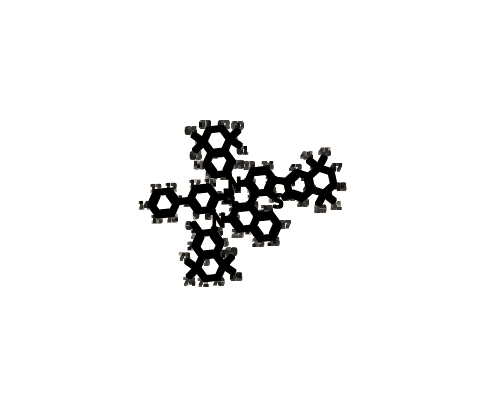 Cc1cc2c(cc1N1c3cc(-c4ccccc4)ccc3B3c4c1cc1ccccc1c4-c1c(ccc4c1sc1cc5c(cc14)C(C)(C)CCC5(C)C)N3c1ccc3c(c1)C(C)(C)CCC3(C)C)C(C)(C)CCC2(C)C